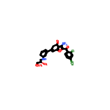 Nc1c(C(=O)c2ccc(Cl)cc2Cl)oc2c1C(=O)CC(c1cccc(NC[C@H](O)CO)c1)=C2